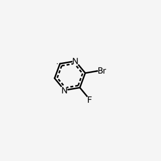 Fc1nc[c]nc1Br